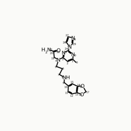 Cc1cc(N(CCCNCc2ccc3c(c2)OCO3)CC(N)=O)nc(-n2ccnc2)n1